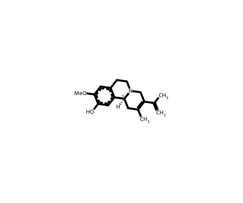 C=C(C)C1=C(C)C[C@H]2c3cc(O)c(OC)cc3CCN2C1